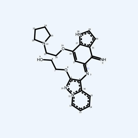 N=C1/C(=N/c2c(OCCO)nn3ccccc23)C=C(OCCN2CCCC2)c2[nH]ccc21